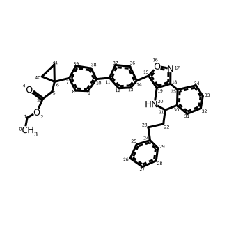 CCOC(=O)CC1(c2ccc(-c3ccc(-c4onc5c4NC(CCc4ccccc4)c4ccccc4-5)cc3)cc2)CC1